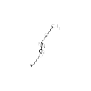 CCCCCCOCCCCc1cnc(-c2ccc(OCCCCCCC3CC3)nc2)cn1